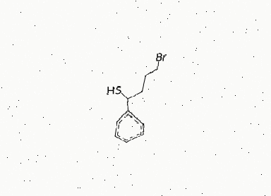 SC(CCCBr)c1ccccc1